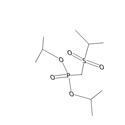 CC(C)OP(=O)(CS(=O)(=O)C(C)C)OC(C)C